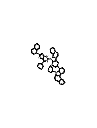 c1ccc(-c2nc(-n3c4ccc(-c5cccc6c7c8ccccc8ccc7n(-c7ccccc7)c56)cc4c4ccc5ccccc5c43)nc3cc(-c4cccc5ccccc45)sc23)cc1